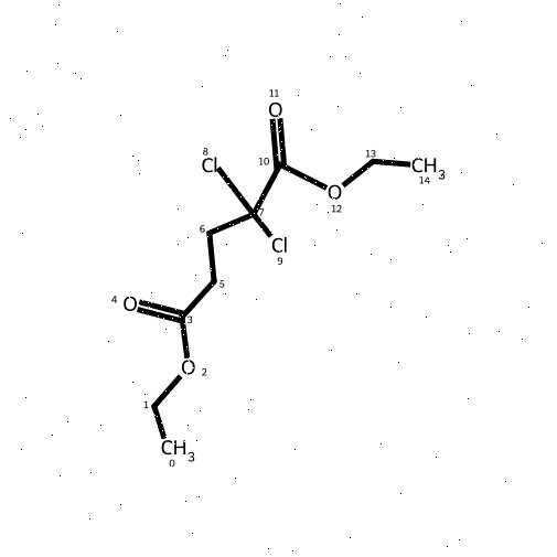 CCOC(=O)CCC(Cl)(Cl)C(=O)OCC